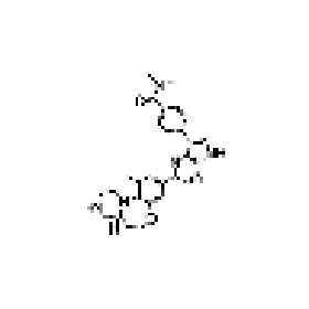 Cc1cc(-c2cnc3[nH]cc(-c4ccc(C(=O)N(C)C)cc4)c3n2)cc2c1N1CCN(C)C[C@H]1CCO2